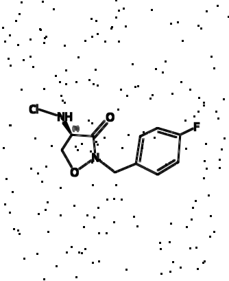 O=C1[C@H](NCl)CON1Cc1ccc(F)cc1